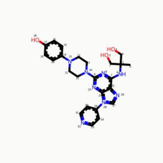 CC(CO)(CO)Nc1nc(N2CCN(c3ccc(O)cc3)CC2)nc2c1ncn2-c1ccncc1